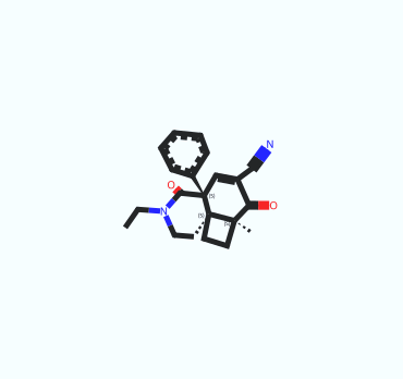 CCN1CC[C@@]23CC[C@]2(C)C(=O)C(C#N)=C[C@@]3(c2ccccc2)C1=O